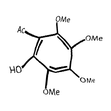 COc1c(O)c(C(C)=O)c(OC)c(OC)c1OC